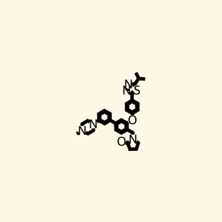 CC(C)c1nnc(-c2ccc(Oc3cc(-c4cccc(N5CCN(C)CC5)c4)ccc3CN3CCCC3=O)cc2)s1